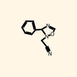 N#CCN1OC=NC1c1ccccc1